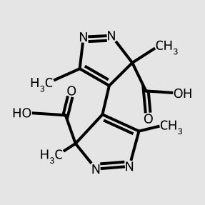 CC1=C(C2=C(C)N=NC2(C)C(=O)O)C(C)(C(=O)O)N=N1